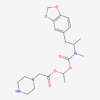 CC(OC(=O)CN1CCNCC1)OC(=O)N(C)C(C)Cc1ccc2c(c1)OCO2